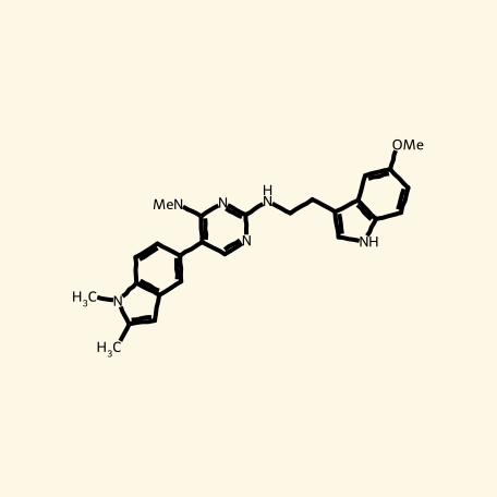 CNc1nc(NCCc2c[nH]c3ccc(OC)cc23)ncc1-c1ccc2c(c1)cc(C)n2C